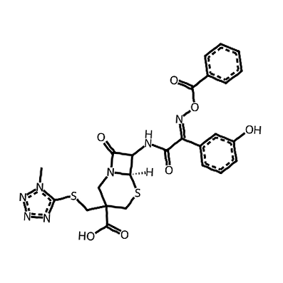 Cn1nnnc1SCC1(C(=O)O)CS[C@@H]2C(NC(=O)C(=NOC(=O)c3ccccc3)c3cccc(O)c3)C(=O)N2C1